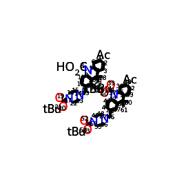 CC(=O)c1ccc2c(c1)N(C(=O)O)c1ccc(CN3CCN(C(=O)OC(C)(C)C)CC3)c(C(C)(C)C)c1C2(C)C.CC(=O)c1ccc2c(c1)N(C(=O)OC(C)(C)C)c1ccc(CN3CCN(C(=O)OC(C)(C)C)CC3)cc1C2(C)C